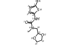 CCc1nnc(NC(=O)N(C)CC2OCCO2)s1